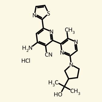 Cc1ncc(N2CCC(C(C)(C)O)C2)nc1-c1nc(-c2nccs2)cc(N)c1C#N.Cl